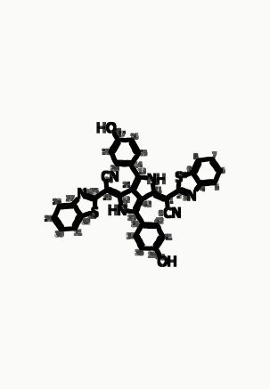 N#C/C(c1nc2ccccc2s1)=c1/[nH]c(-c2ccc(O)cc2)c2/c(=C(\C#N)c3nc4ccccc4s3)[nH]c(-c3ccc(O)cc3)c12